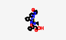 O=C(O)C[C@@H](Cc1ccccc1)C(=O)N(c1nc(-c2ccccc2-c2ccc(N3CCCC3=O)nc2)ns1)C1CC1